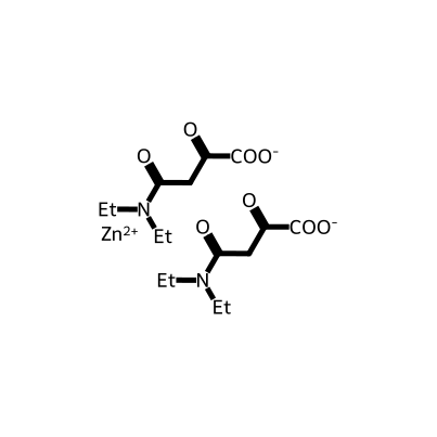 CCN(CC)C(=O)CC(=O)C(=O)[O-].CCN(CC)C(=O)CC(=O)C(=O)[O-].[Zn+2]